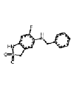 O=S1(=O)Cc2cc(NCc3ccccc3)c(F)cc2N1